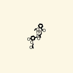 CCOc1ccccc1C(=O)NCc1coc(-c2ccc(OC)c(OCC3CO3)c2)n1